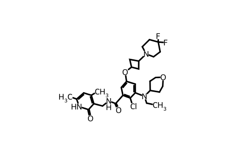 CCN(c1cc(OC2CC(N3CCC(F)(F)CC3)C2)cc(C(=O)NCc2c(C)cc(C)[nH]c2=O)c1Cl)C1CCOCC1